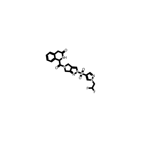 O=C1Cc2ccccc2C(C(=O)N2Cc3cn(S(=O)(=O)c4cnn(CC(F)F)c4)nc3C2)N1